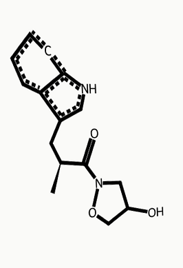 C[C@@H](Cc1c[nH]c2ccccc12)C(=O)N1CC(O)CO1